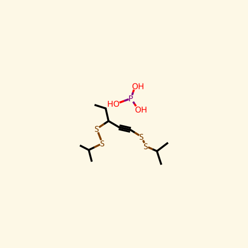 CCC(C#CSSC(C)C)SSC(C)C.OP(O)O